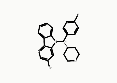 Fc1ccc([C@H](C2CCOCC2)n2c3ccccc3c3ncc(Br)cc32)cc1